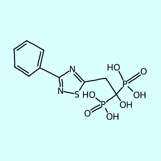 O=P(O)(O)C(O)(Cc1nc(-c2ccccc2)ns1)P(=O)(O)O